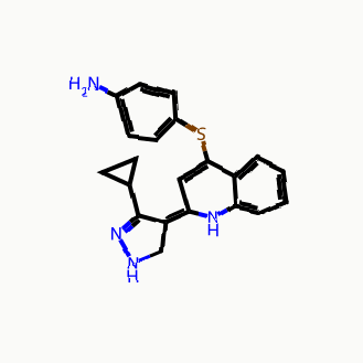 Nc1ccc(SC2=CC(=C3CNN=C3C3CC3)Nc3ccccc32)cc1